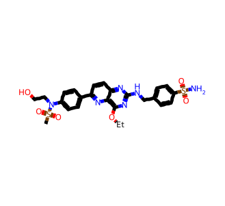 CCOc1nc(NCc2ccc(S(N)(=O)=O)cc2)nc2ccc(-c3ccc(N(CCO)S(C)(=O)=O)cc3)nc12